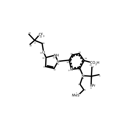 CCCC(C)(C)N(CCSC)c1nc(N2C=CC(OCC(C)(C)C(F)(F)F)N2)ccc1C(=O)O